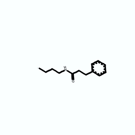 [CH2]CCCNC(=O)CCc1ccccc1